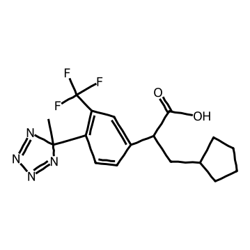 CC1(c2ccc(C(CC3CCCC3)C(=O)O)cc2C(F)(F)F)N=NN=N1